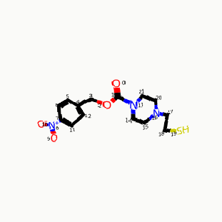 O=C(OCc1ccc([N+](=O)[O-])cc1)N1CCN(CCS)CC1